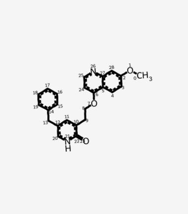 COc1ccc2c(OCCc3cc(Cc4ccccc4)c[nH]c3=O)ccnc2c1